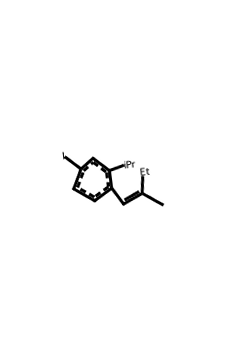 CC/C(C)=C\c1ccc(I)cc1C(C)C